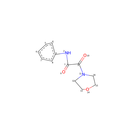 O=C(Nc1[c]cccc1)C(=O)N1CCOCC1